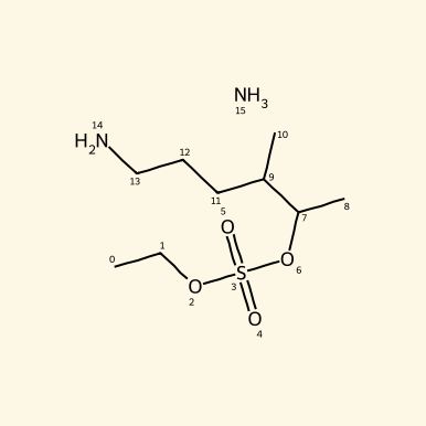 CCOS(=O)(=O)OC(C)C(C)CCCN.N